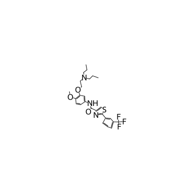 CCCN(CCC)CCOc1cc(NC(=O)c2csc(-c3cccc(C(F)(F)F)c3)n2)ccc1OC